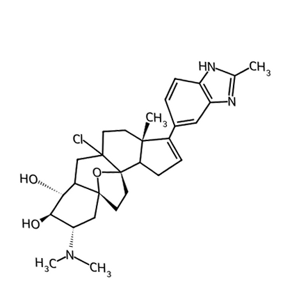 Cc1nc2cc(C3=CCC4[C@@]56CC[C@]7(C[C@H](N(C)C)[C@@H](O)[C@H](O)C7CC5(Cl)CC[C@]34C)O6)ccc2[nH]1